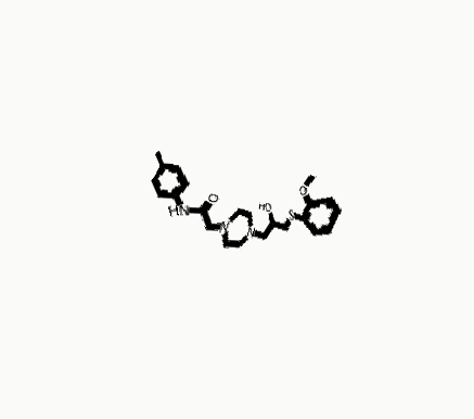 COc1ccccc1SCC(O)CN1CCN(CC(=O)Nc2ccc(C)cc2)CC1